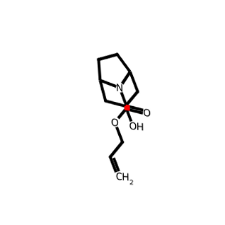 C=CCOC(=O)N1C2CCC1CC(O)C2